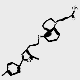 Cc1ccc(-c2nc(CCOc3cccc4c3CCCN4CCC(=O)O)c(C)o2)cc1